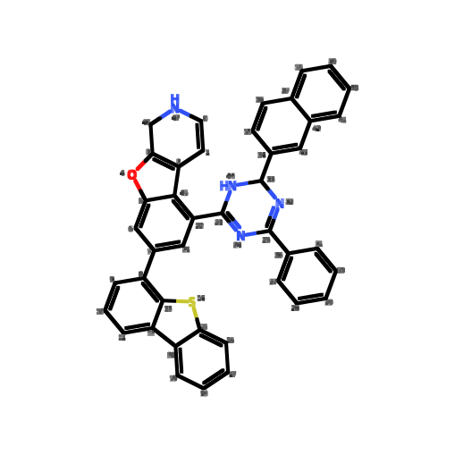 C1=Cc2c(oc3cc(-c4cccc5c4sc4ccccc45)cc(C4=NC(c5ccccc5)=NC(c5ccc6ccccc6c5)N4)c23)CN1